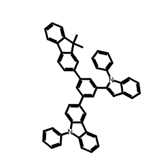 CC1(C)c2ccccc2-c2ccc(-c3cc(-c4ccc5c(c4)c4ccccc4n5-c4ccccc4)cc(-c4cc5ccccc5n4-c4ccccc4)c3)cc21